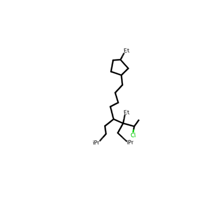 CCC1CCC(CCCCC(CCC(C)C)C(CC)(CC(C)C)C(C)Cl)C1